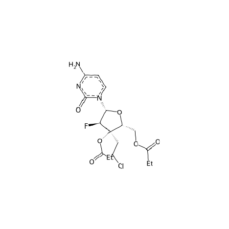 CCC(=O)OC[C@H]1O[C@@H](n2ccc(N)nc2=O)[C@H](F)[C@]1(CCCl)OC(=O)CC